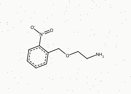 NCCOCc1ccccc1[N+](=O)[O-]